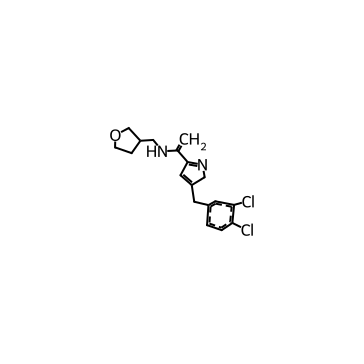 C=C(NCC1CCOC1)C1=NCC(Cc2ccc(Cl)c(Cl)c2)=C1